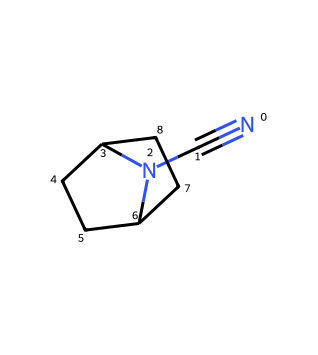 N#CN1C2CCC1CC2